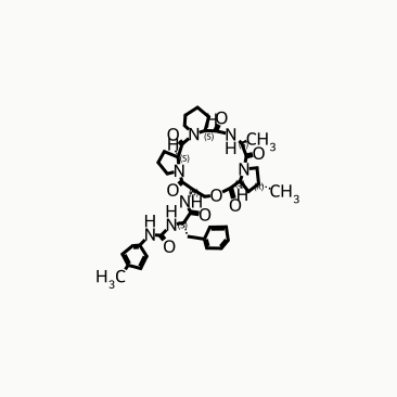 Cc1ccc(NC(=O)N[C@@H](Cc2ccccc2)C(=O)N[C@H]2COC(=O)[C@@H]3C[C@@H](C)CN3C(=O)[C@H](C)NC(=O)[C@@H]3CCCCN3C(=O)[C@@H]3CCCN3C2=O)cc1